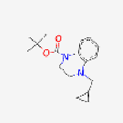 CC(C)(C)OC(=O)N1CCN(CC2CC2)c2ccccc21